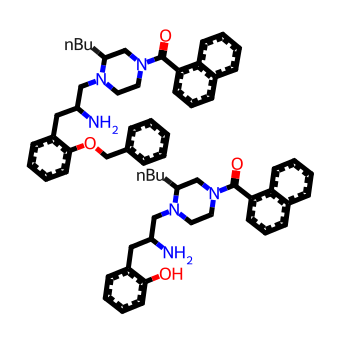 CCCCC1CN(C(=O)c2cccc3ccccc23)CCN1CC(N)Cc1ccccc1O.CCCCC1CN(C(=O)c2cccc3ccccc23)CCN1CC(N)Cc1ccccc1OCc1ccccc1